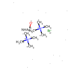 CC(=O)N[O-].C[N+](C)(C)C.C[N+](C)(C)C.[Br-]